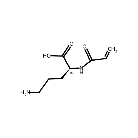 C=CC(=O)N[C@@H](CCCN)C(=O)O